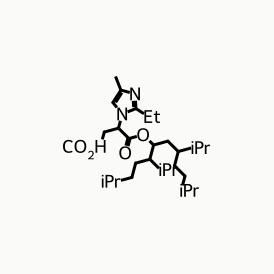 CCc1nc(C)cn1C(CC(=O)O)C(=O)OC(CC(CCC(C)C)C(C)C)C(CCC(C)C)C(C)C